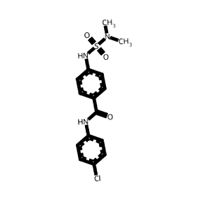 CN(C)S(=O)(=O)Nc1ccc(C(=O)Nc2ccc(Cl)cc2)cc1